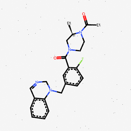 CCC(=O)N1CCN(C(=O)c2cc(CN3CN=Cc4ccccc43)ccc2F)C[C@H]1CC